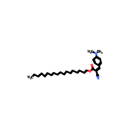 CCCCCCCCCCCCCCCCCCOC(=O)C(C#N)=Cc1ccc(N(C)C)cc1